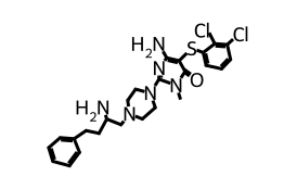 Cn1c(N2CCN(CC(N)CCc3ccccc3)CC2)nc(N)c(Sc2cccc(Cl)c2Cl)c1=O